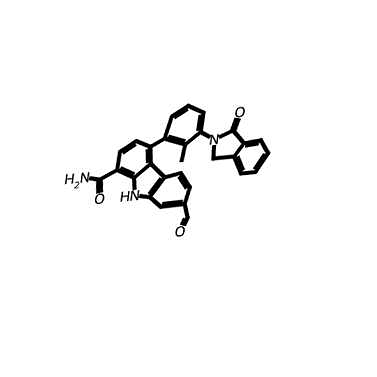 Cc1c(-c2ccc(C(N)=O)c3[nH]c4cc(C=O)ccc4c23)cccc1N1Cc2ccccc2C1=O